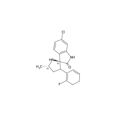 C[C@H]1CC(C2=C(F)CCC=C2)[C@@]2(N1)C(=O)Nc1cc(Cl)ccc12